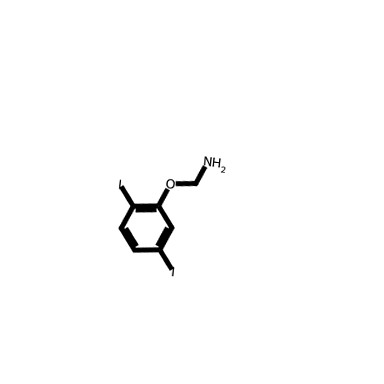 NCOc1cc(I)ccc1I